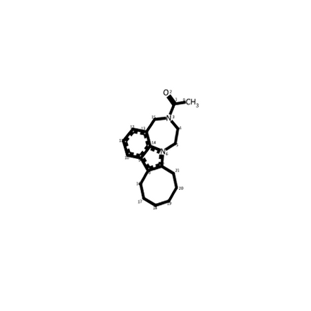 CC(=O)N1CCn2c3c(c4cccc(c42)C1)CCCCCC3